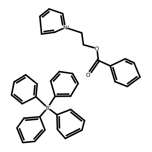 O=C(OCC[n+]1ccccc1)c1ccccc1.c1ccc([B-](c2ccccc2)(c2ccccc2)c2ccccc2)cc1